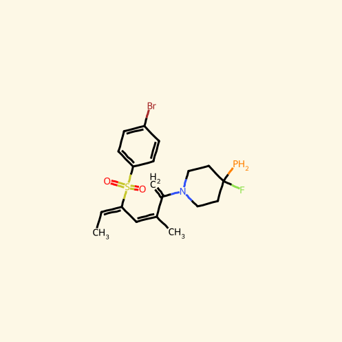 C=C(/C(C)=C\C(=C/C)S(=O)(=O)c1ccc(Br)cc1)N1CCC(F)(P)CC1